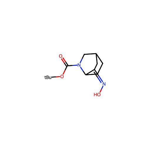 CC(C)(C)OC(=O)N1CC2CCC1C(=NO)C2